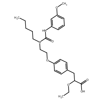 CCCCCN(CCOc1ccc(CC(OCC)C(=O)O)cc1)C(=O)Nc1cccc(OC)c1